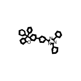 C1=CCCC(C2(c3ccccc3)c3ccccc3Oc3cc(-c4ccc(-c5nc(-c6ccccc6)nc(-c6ccccc6)n5)cc4)ccc32)=C1